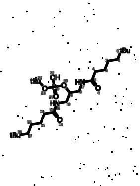 CC(C)(C)CCCCC(=O)NCC(CNC(=O)CCCCC(C)(C)C)OP(=O)(O)OC(C)(C)C